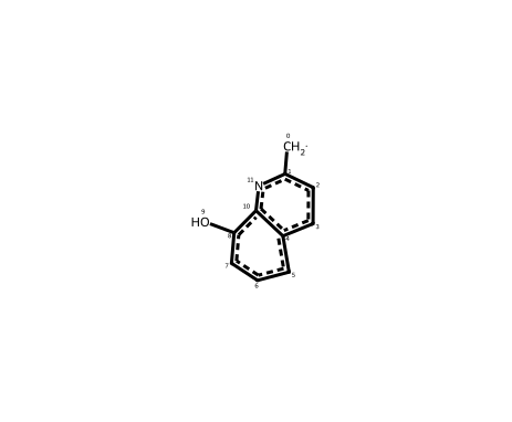 [CH2]c1ccc2cccc(O)c2n1